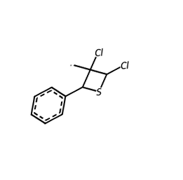 [CH2]C1(Cl)C(Cl)SC1c1ccccc1